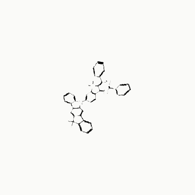 CC1(C)c2ccccc2-c2cc3c(cc21)c1ccccc1n3-c1ccc2c(c1)[Si](C)(C)c1c(-c3ccccc3)nc(-c3ccccc3)nc1-2